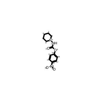 O=C(NN1CCCCC1)Oc1ccc([N+](=O)[O-])cc1